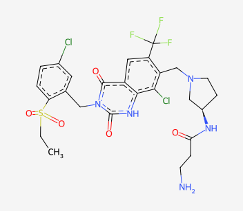 CCS(=O)(=O)c1ccc(Cl)cc1Cn1c(=O)[nH]c2c(Cl)c(CN3CC[C@@H](NC(=O)CCN)C3)c(C(F)(F)F)cc2c1=O